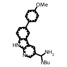 CCCCC(N)c1cnc2[nH]c3ccc(-c4ccc(OC)cc4)cc3c2c1